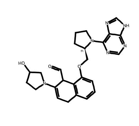 O=CC1C(N2CCC(O)C2)=CCc2cccc(OC[C@H]3CCCN3c3ncnc4[nH]cnc34)c21